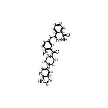 O=C(c1cc(Cc2n[nH]c(=O)c3ccccc23)ccc1F)N1CCN(c2cnc3[nH]cnc3c2)CC1